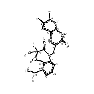 Cc1cc2nc(CN3C(=O)C(F)(F)Oc4c([C@H](C)O)cccc43)c(=O)[nH]c2cc1C